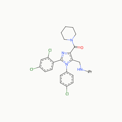 CC(C)NCc1c(C(=O)N2CCCCC2)nc(-c2ccc(Cl)cc2Cl)n1-c1ccc(Cl)cc1